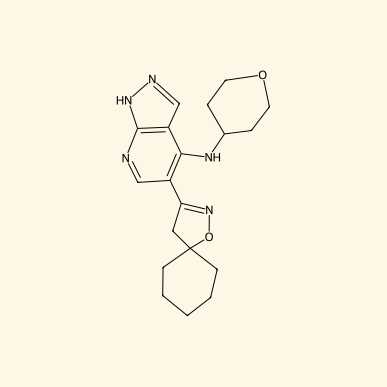 c1nc2[nH]ncc2c(NC2CCOCC2)c1C1=NOC2(CCCCC2)C1